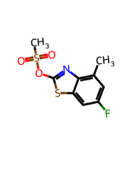 Cc1cc(F)cc2sc(OS(C)(=O)=O)nc12